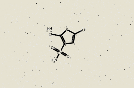 NS(=O)(=O)c1cc(Cl)sc1Cl.[KH]